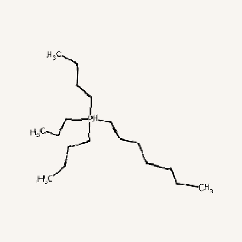 CCCCCCC[PH](CCC)(CCCC)CCCC